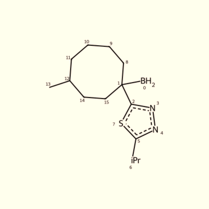 BC1(c2nnc(C(C)C)s2)CCCCC(C)CC1